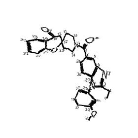 CCc1nc2cc(C(=O)N3CCC4(CC3)CC(=O)c3ccccc3O4)ccc2n1-c1cccc(OC)c1